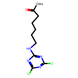 COC(=O)CCCCCNc1nc(Cl)nc(Cl)n1